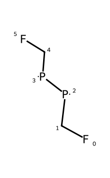 FC[P][P]CF